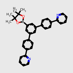 CC1(C)OB(c2cc(-c3ccc(-c4ccccn4)cc3)cc(-c3ccc(-c4ccccn4)cc3)c2)OC1(C)C